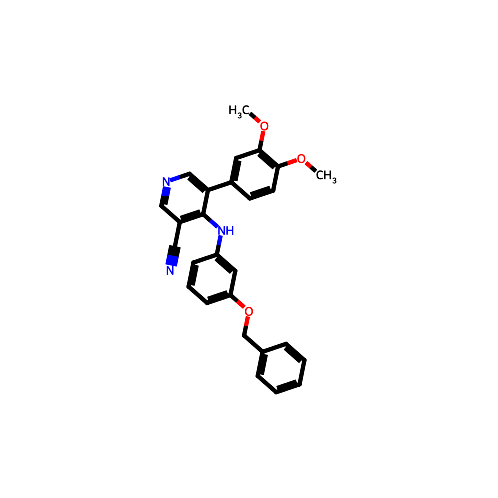 COc1ccc(-c2cncc(C#N)c2Nc2cccc(OCc3ccccc3)c2)cc1OC